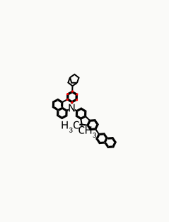 CC1(C)c2cc(-c3ccc4ccccc4c3)ccc2-c2ccc(N(c3ccc(C4CC5CCC4C5)cc3)c3cccc4cccc(C5CCCCC5)c34)cc21